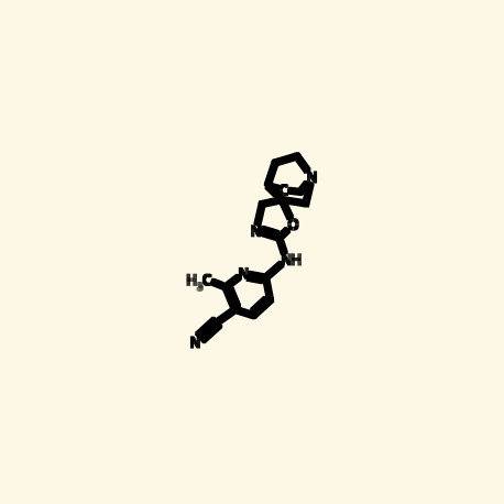 Cc1nc(NC2=NCC3(CN4CCC3CC4)O2)ccc1C#N